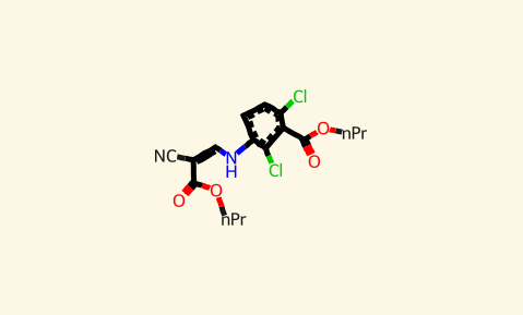 CCCOC(=O)C(C#N)=CNc1ccc(Cl)c(C(=O)OCCC)c1Cl